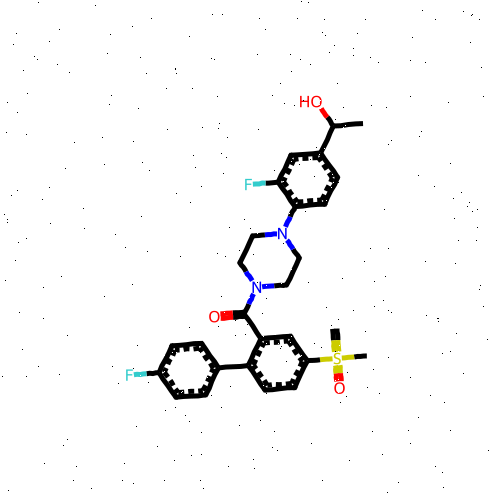 C=S(C)(=O)c1ccc(-c2ccc(F)cc2)c(C(=O)N2CCN(c3ccc(C(C)O)cc3F)CC2)c1